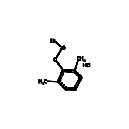 C[CH2][Al][O]c1c(C)cccc1C.Cl